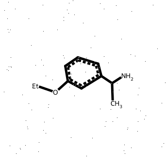 CCOc1cccc(C(C)N)c1